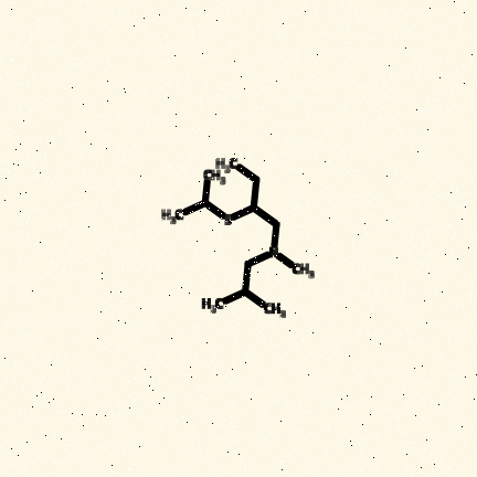 CCC(CN(C)CC(C)C)SC(C)C